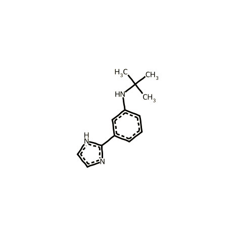 CC(C)(C)Nc1cccc(-c2ncc[nH]2)c1